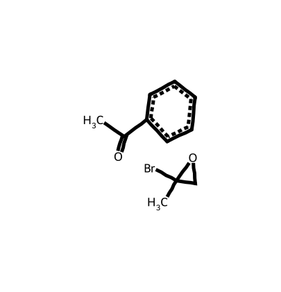 CC(=O)c1ccccc1.CC1(Br)CO1